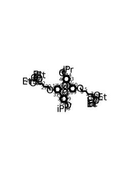 CCO[Si](CCCCOc1ccc(S(=O)(=O)c2ccc(OCCCC[Si](OCC)(OCC)OCC)cc2-c2ccc(OC(C)C)cc2)c(-c2ccc(OC(C)C)cc2)c1)(OCC)OCC